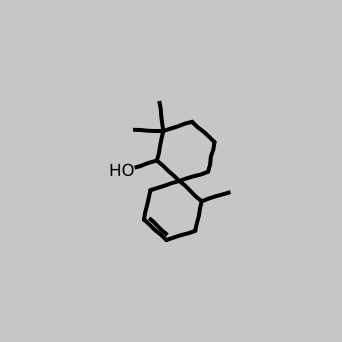 CC1CC=CCC12CCCC(C)(C)C2O